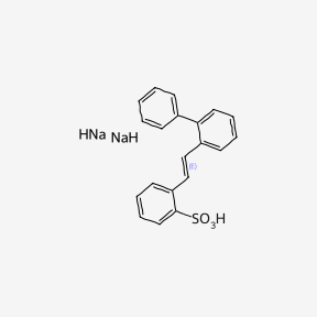 O=S(=O)(O)c1ccccc1/C=C/c1ccccc1-c1ccccc1.[NaH].[NaH]